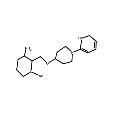 CC(=O)N1CCCC(N)C1COC1CCN(C2=CC=CCN2)CC1